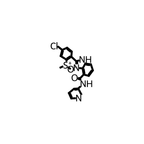 C[S+]([O-])c1cc(Cl)ccc1-c1nc2c(C(=O)Nc3cccnc3)cccc2[nH]1